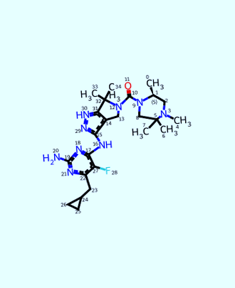 C[C@H]1CN(C)C(C)(C)CN1C(=O)N1Cc2c(Nc3nc(N)nc(CC4CC4)c3F)n[nH]c2C1(C)C